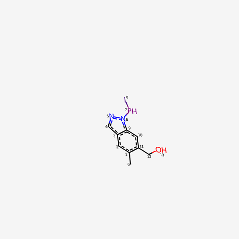 Cc1cc2cnn(PI)c2cc1CO